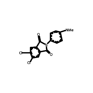 CNc1ccc(N2C(=O)c3cc(Cl)c(Cl)cc3C2=O)cc1